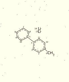 Cc1ccc(-c2ccccc2)cc1.[Li].[Li]